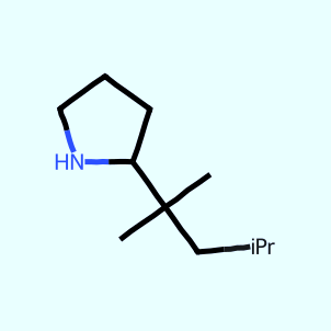 CC(C)CC(C)(C)C1CCCN1